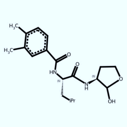 Cc1ccc(C(=O)N[C@@H](CC(C)C)C(=O)N[C@H]2CCOC2O)cc1C